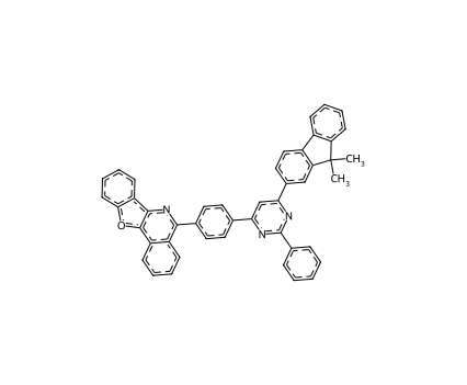 CC1(C)c2ccccc2-c2ccc(-c3cc(-c4ccc(-c5nc6c7ccccc7oc6c6ccccc56)cc4)nc(-c4ccccc4)n3)cc21